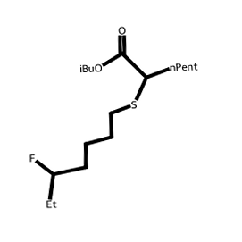 CCCCCC(SCCCCC(F)CC)C(=O)OCC(C)C